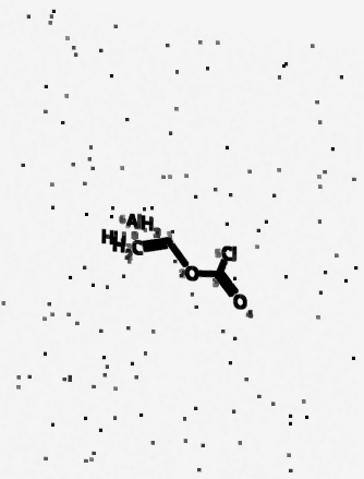 C=COC(=O)Cl.[AlH3].[LiH]